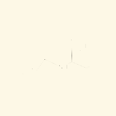 CCC(NCC=O)C(=O)O